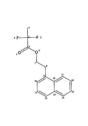 CC(F)(F)C(=O)OCCc1cccc2ccccc12